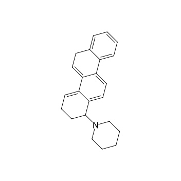 C1=c2c(ccc3c2=CCCC3N2CCCCC2)-c2ccccc2C1